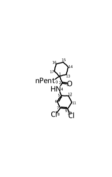 CCCCCC1(C(=O)NC2=CC(Cl)=C(Cl)C[CH]2)CCCCC1